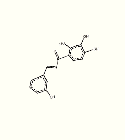 O=C(C=Cc1cccc(O)c1)c1ccc(O)c(O)c1O